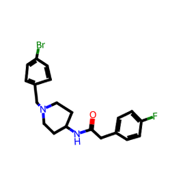 O=C(Cc1ccc(F)cc1)NC1CCN(Cc2ccc(Br)cc2)CC1